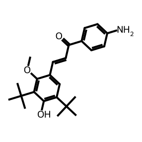 COc1c(C=CC(=O)c2ccc(N)cc2)cc(C(C)(C)C)c(O)c1C(C)(C)C